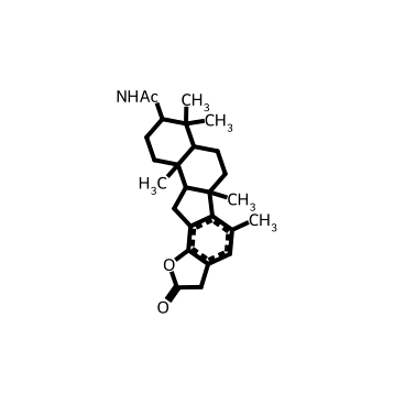 CC(=O)NC1CCC2(C)C3Cc4c5c(cc(C)c4C3(C)CCC2C1(C)C)CC(=O)O5